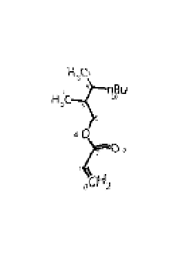 C=CC(=O)OCC(C)C(C)CCCC